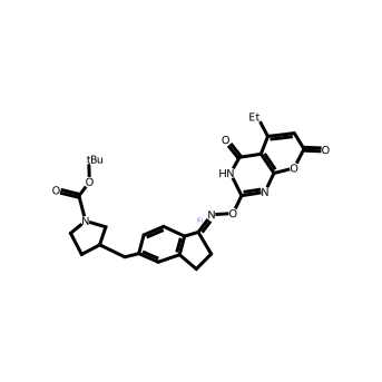 CCc1cc(=O)oc2nc(O/N=C3\CCc4cc(CC5CCN(C(=O)OC(C)(C)C)C5)ccc43)[nH]c(=O)c12